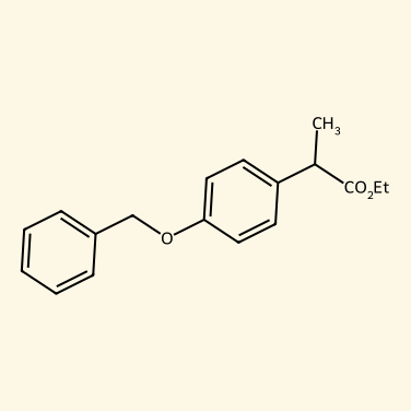 CCOC(=O)C(C)c1ccc(OCc2ccccc2)cc1